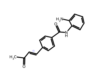 CC(=O)/C=C/c1ccc(C(=O)Nc2ccccc2N)cc1